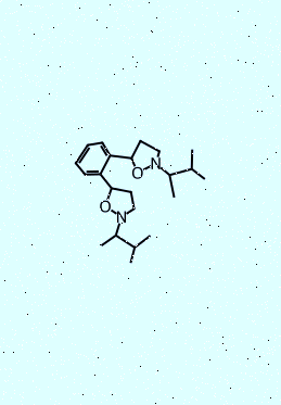 CC(C)C(C)N1CCC(c2ccccc2C2CCN(C(C)C(C)C)O2)O1